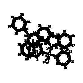 O=P(c1ccccc1)(c1ccccc1)n1c2ccccc2c2ccc3c(c4ccccc4n3-c3ccccc3)c21